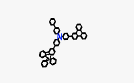 c1ccc(-c2ccc(N(c3ccc(-c4ccc5c(c4)-c4ccccc4[Si]5(c4ccccc4)c4ccccc4)cc3)c3ccc(-c4ccc5c6ccccc6c6ccccc6c5c4)cc3)cc2)cc1